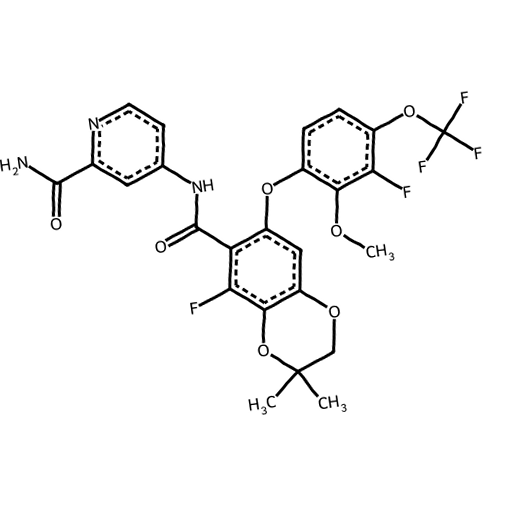 COc1c(Oc2cc3c(c(F)c2C(=O)Nc2ccnc(C(N)=O)c2)OC(C)(C)CO3)ccc(OC(F)(F)F)c1F